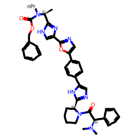 CCCN(C(=O)OCc1ccccc1)[C@@H](C)c1nc(-c2ncc(-c3ccc(-c4cnc([C@@H]5CCCCN5C(=O)[C@@H](c5ccccc5)N(C)C)[nH]4)cc3)o2)c[nH]1